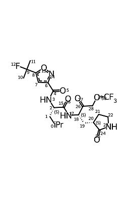 CC(C)C[C@H](NC(=O)c1cc(C(C)(C)F)on1)C(=O)N[C@@H](C[C@@H]1CCNC1=O)C(=O)COC(F)(F)F